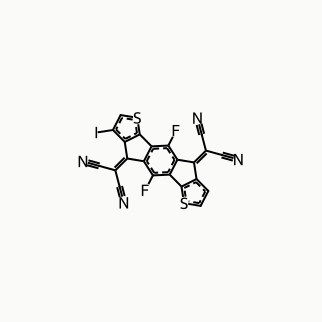 N#CC(C#N)=C1c2ccsc2-c2c(F)c3c(c(F)c21)-c1scc(I)c1C3=C(C#N)C#N